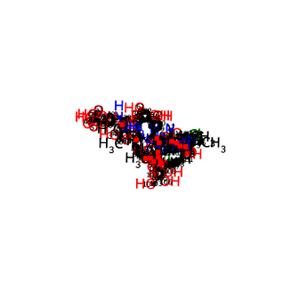 CN[C@H](CC(C)C)C(=O)N[C@H]1C(=O)N[C@@H](CC(N)=O)C(=O)N[C@H]2C(=O)N[C@H]3C(=O)N[C@H](C(=O)N[C@H](C(=O)OCC(=O)Nc4ccc(CC(P(=O)(O)O)P(=O)(O)O)cc4)c4cc(O)cc(O)c4-c4cc3ccc4O)[C@H](O[C@H]3C[C@](C)(N)[C@@H](O)[C@H](C)O3)c3ccc(c(Cl)c3)Oc3cc2cc(c3O[C@@H]2O[C@H](CO)[C@@H](O)[C@H](O)[C@H]2O[C@H]2C[C@](C)(NCc3ccc(-c4ccc(Cl)cc4)cc3)[C@@H](O)[C@H](C)O2)Oc2ccc(cc2Cl)[C@H]1O